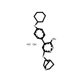 CCCCc1nnc(OC2CN3CCC2CC3)cc1-c1ccc(OC2CCCCC2)cc1.Cl.Cl